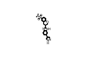 CN(C)S(=O)(=O)c1ccc2c(c1)CC(c1nc3ccc(-c4cn[nH]c4)cc3[nH]1)CO2